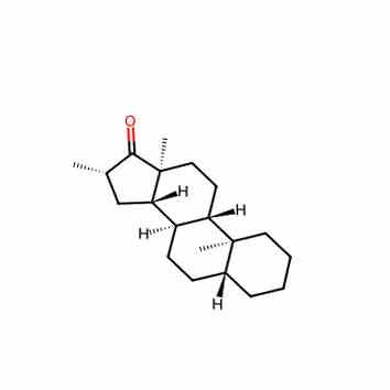 C[C@H]1C[C@H]2[C@@H]3CC[C@H]4CCCC[C@]4(C)[C@H]3CC[C@]2(C)C1=O